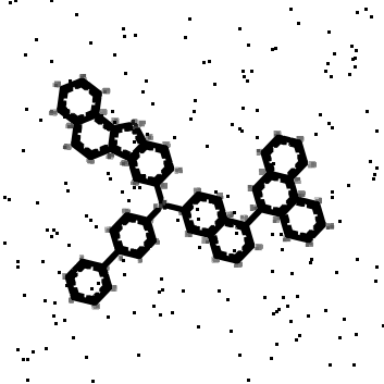 c1ccc(-c2ccc(N(c3ccc4c(-c5cc6ccccc6c6ccccc56)cccc4c3)c3ccc4sc5c6ccccc6ccc5c4c3)cc2)cc1